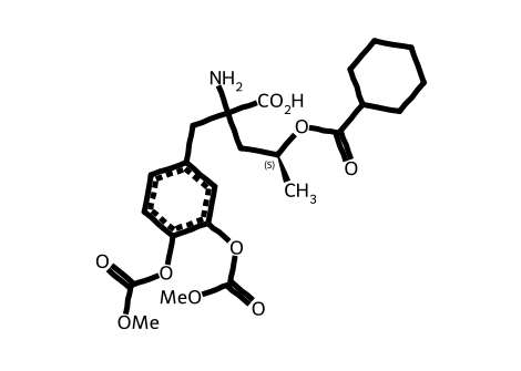 COC(=O)Oc1ccc(CC(N)(C[C@H](C)OC(=O)C2CCCCC2)C(=O)O)cc1OC(=O)OC